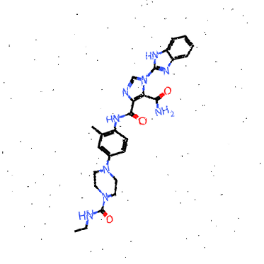 CCNC(=O)N1CCN(c2ccc(NC(=O)c3ncn(-c4nc5ccccc5[nH]4)c3C(N)=O)c(C)c2)CC1